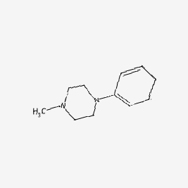 CN1CCN(C2=C[CH]CC=C2)CC1